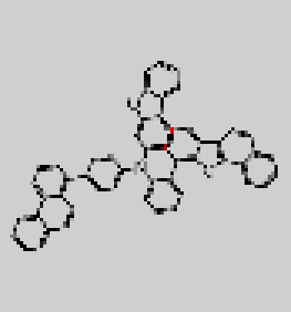 c1ccc(N(c2ccc(-c3cccc4c3ccc3ccccc34)cc2)c2ccc3c(c2)oc2ccccc23)c(-c2cccc3c2oc2c4ccccc4ccc32)c1